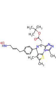 Cc1sc2c(c1C)C(c1ccc(CC=CCNO)cc1)=N[C@H](CC(=O)OC(C)(C)C)c1nnc(C)n1-2